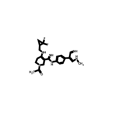 CN/C=C(\C=N)c1ccc(NC(=N)C2=C(NCC3CC3(F)F)CCN(C(C)=O)C2)cc1